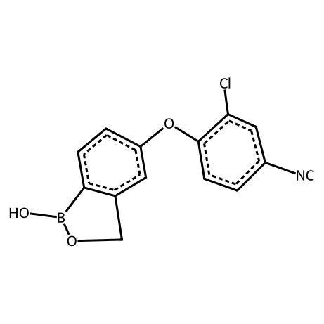 [C-]#[N+]c1ccc(Oc2ccc3c(c2)COB3O)c(Cl)c1